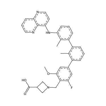 COc1cc(-c2cccc(-c3cccc(Nc4ccnc5cccnc45)c3C)c2C)cc(F)c1CN1CC(C(=O)O)C1